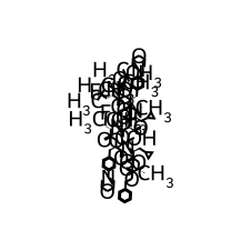 C[C@@H](OC(=O)[C@H](CC1CC1)N(CO)C(=O)[C@@H](Cc1ccc(N2CCOCC2)cc1)OC(=O)[C@H](CC(C)(C)F)N(C)C(=O)[C@H](C=O)C(=O)[C@H](CC1CC1)N(C)C(=O)[C@@H](Cc1ccc(N2CCOCC2)cc1)OC(=O)[C@H](CC(C)(C)F)N(C)C(=O)OC(C)(C)C)C(=O)OCc1ccccc1